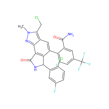 Cn1nc2c3c(c(-c4c(F)cc(C(F)(F)F)cc4C(N)=O)cc2c1CCl)C(c1cc(F)ccc1Cl)NC3=O